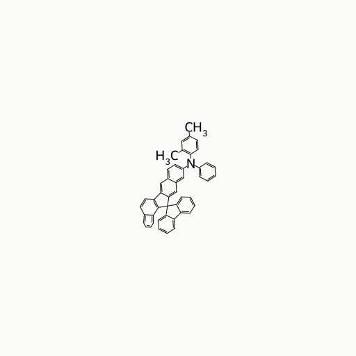 Cc1ccc(N(c2ccccc2)c2ccc3cc4c(cc3c2)C2(c3ccccc3-c3ccccc32)c2c-4ccc3ccccc23)c(C)c1